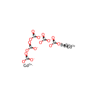 O=[Si]([O-])[O-].O=[Si]([O-])[O-].O=[Si]([O-])[O-].O=[Si]([O-])[O-].O=[Si]([O-])[O-].[Ba+2].[Ba+2].[Gd+3].[Gd+3]